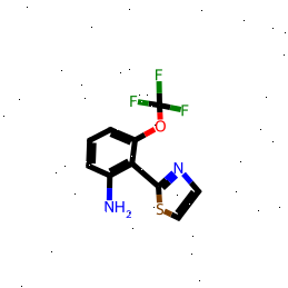 Nc1cccc(OC(F)(F)F)c1-c1nccs1